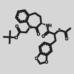 CC(=O)SC(Cc1ccc2c(c1)OCO2)C(=O)N[C@H]1CCc2ccccc2N(CC(=O)OC(C)(C)C)C1=O